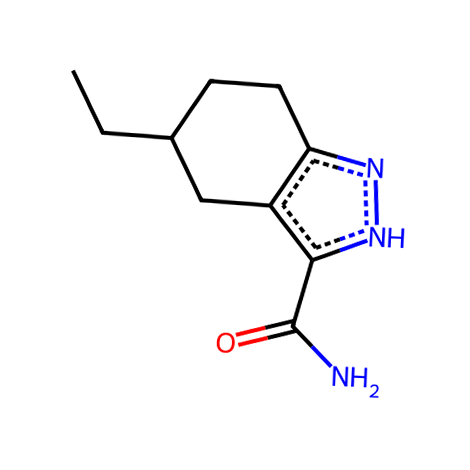 CCC1CCc2n[nH]c(C(N)=O)c2C1